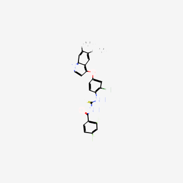 COc1cc2nccc(Oc3ccc(NC(=S)NC(=O)c4ccc(F)cc4F)c(Cl)c3)c2cc1OC